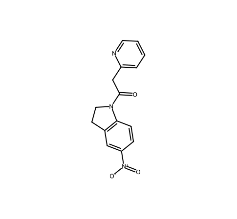 O=C(Cc1ccccn1)N1CCc2cc([N+](=O)[O-])ccc21